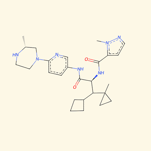 C[C@@H]1CN(c2ccc(NC(=O)[C@@H](NC(=O)c3ccnn3C)C(C3CCC3)C3(C)CC3)cn2)CCN1